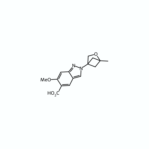 COc1cc2nn(C34COC(C)(C3)C4)cc2cc1C(=O)O